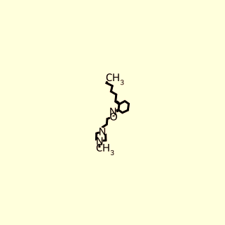 CCCCCC=C1CCCCC1=NOCCCN1CCN(C)CC1